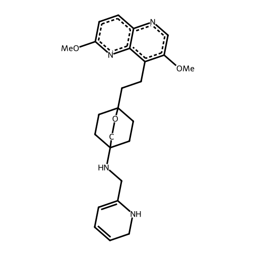 COc1ccc2ncc(OC)c(CCC34CCC(NCC5=CC=CCN5)(CC3)CO4)c2n1